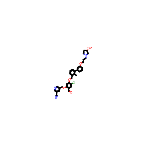 Cc1c(COc2cc(OCc3cncc(C#N)c3)c(C=O)cc2Cl)cccc1-c1cccc(OCCCN2CCC(O)C2)c1